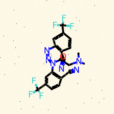 CN(C)CC(=O)N(/N=N\c1cc(C(F)(F)F)ccc1C#N)c1cc(C(F)(F)F)ccc1C#N